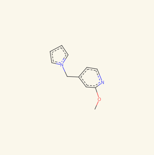 COc1cc(Cn2cccc2)ccn1